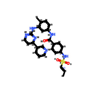 C/C=C/S(=O)(=O)Nc1ccc(C(=O)Nc2ccc(C)c(Nc3nccc(-c4cccnc4)n3)c2)cc1